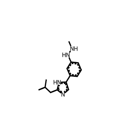 CNNc1cccc(-c2cnc(CC(C)C)[nH]2)c1